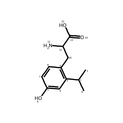 CC(C)c1cc(O)ccc1CC(N)C(=O)O